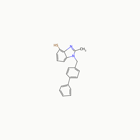 Cc1nc2c(S)cccc2n1Cc1ccc(-c2ccccc2)cc1